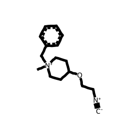 [C-]#[N+]CCOC1CC[N+](C)(Cc2ccccc2)CC1